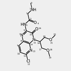 CNCC(=O)Nc1nc2ccc(Cl)nc2n(C(COC)COC)c1=O